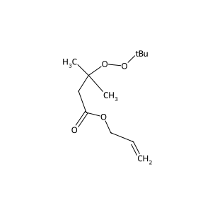 C=CCOC(=O)CC(C)(C)OOC(C)(C)C